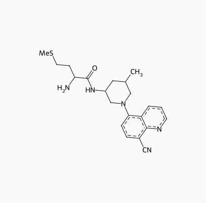 CSCCC(N)C(=O)NC1CC(C)CN(c2ccc(C#N)c3ncccc23)C1